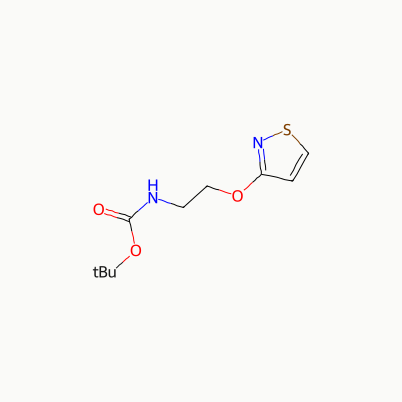 CC(C)(C)OC(=O)NCCOc1ccsn1